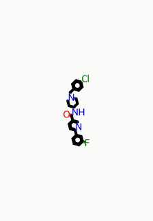 O=C(NC1CCN(Cc2ccc(Cl)cc2)CC1)c1ccc(-c2cccc(F)c2)nc1